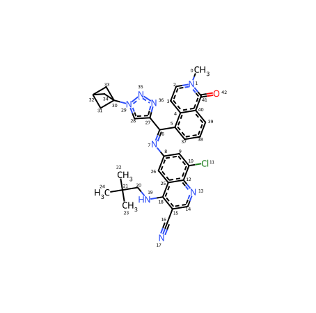 Cn1ccc2c(/C(=N\c3cc(Cl)c4ncc(C#N)c(NCC(C)(C)C)c4c3)c3cn(C45CC(C4)C5)nn3)cccc2c1=O